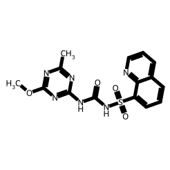 COc1nc(C)nc(NC(=O)NS(=O)(=O)c2cccc3cccnc23)n1